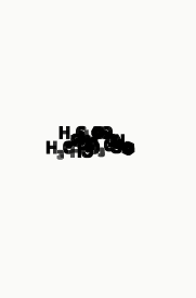 CCCOC(=O)N(C)C[C@H](CC(=O)O)Cc1cccc(OCCc2nc(-c3ccccc3)oc2C)c1